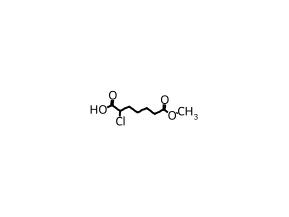 COC(=O)CCCCC(Cl)C(=O)O